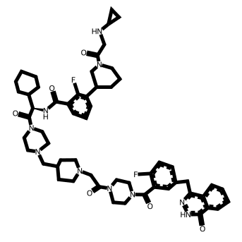 O=C(N[C@@H](C(=O)N1CCN(CC2CCN(CC(=O)N3CCN(C(=O)c4cc(Cc5n[nH]c(=O)c6ccccc56)ccc4F)CC3)CC2)CC1)C1CCCCC1)c1cccc(C2CCCN(C(=O)CNC3CC3)C2)c1F